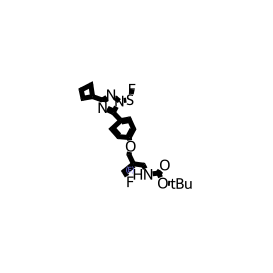 CC(C)(C)OC(=O)NC/C(=C\F)COc1ccc(-c2nc(C3CCC3)nn2SF)cc1